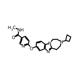 CNC(=O)c1ccc(Oc2ccc3c(c2)nc2n3CCN(C3CCC3)CC2)nc1